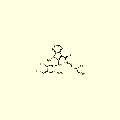 C/C=C1/C=C(C)C(Nc2c(C(=O)NOC[C@@H](O)CO)c3cccnc3n2C)=CC1C